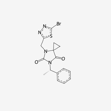 C[C@@H](c1ccccc1)N1C(=O)N(Cc2nnc(Br)s2)C2(CC2)C1=O